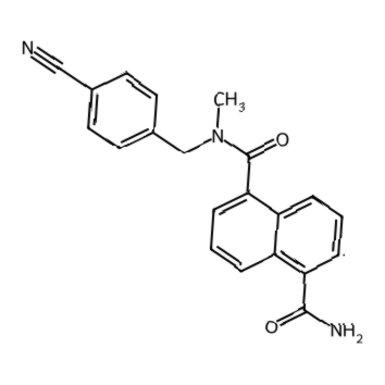 CN(Cc1ccc(C#N)cc1)C(=O)c1cccc2c(C(N)=O)[c]ccc12